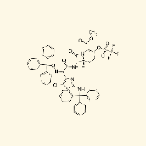 COC(=O)C1=C(OS(=O)(=O)C(F)(F)F)CC[C@@H]2[C@H](NC(=O)/C(=N\OC(c3ccccc3)(c3ccccc3)c3ccccc3)c3nc(NC(c4ccccc4)(c4ccccc4)c4ccccc4)sc3Cl)C(=O)N12